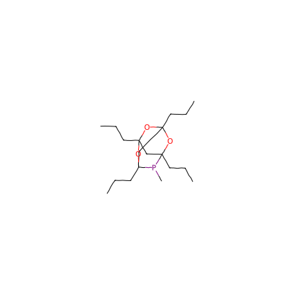 CCCC12CC3(CCC)OC(CCC)(CC(CCC)(O1)P3C)O2